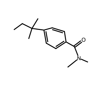 CCC(C)(C)c1ccc(C(=O)N(C)C)cc1